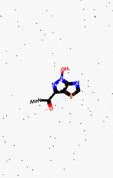 CNC(=O)c1nn(O)c2ncsc12